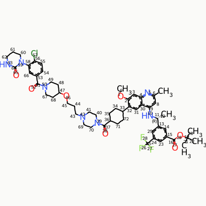 COc1cc2nc(C)cc(N[C@H](C)c3cc(C(=O)OC(C)(C)C)cc(C(F)(F)F)c3)c2cc1C1CCC(C(=O)N2CCN(CCCOC3CCN(C(=O)c4ccc(Cl)c(N5CCCNC5=O)c4)CC3)CC2)CC1